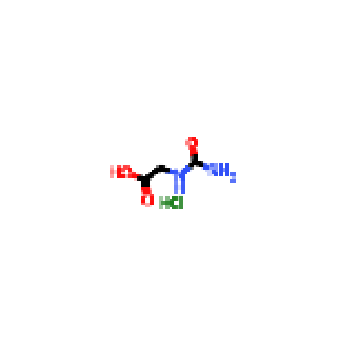 Cl.NC(=O)NCC(=O)O